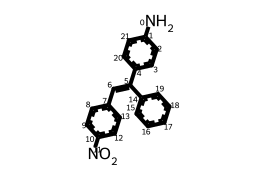 Nc1ccc(C(=Cc2ccc([N+](=O)[O-])cc2)c2ccccc2)cc1